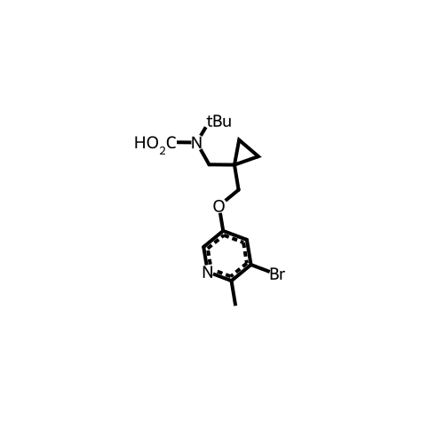 Cc1ncc(OCC2(CN(C(=O)O)C(C)(C)C)CC2)cc1Br